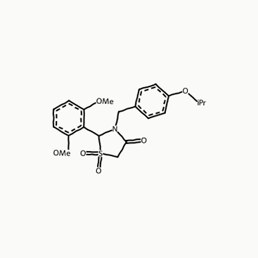 COc1cccc(OC)c1C1N(Cc2ccc(OC(C)C)cc2)C(=O)CS1(=O)=O